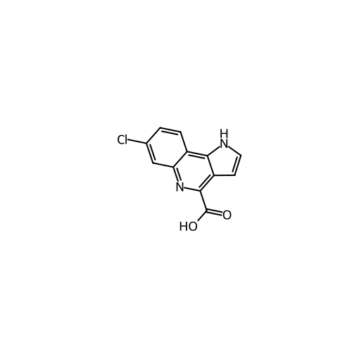 O=C(O)c1nc2cc(Cl)ccc2c2[nH]ccc12